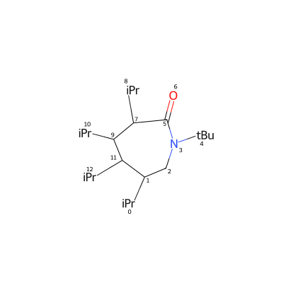 CC(C)C1CN(C(C)(C)C)C(=O)C(C(C)C)C(C(C)C)C1C(C)C